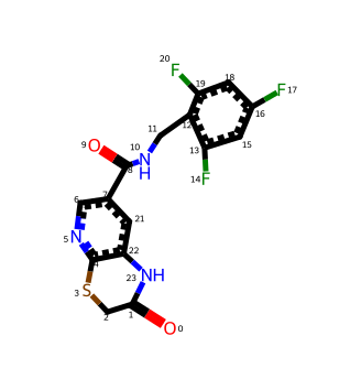 O=C1CSc2ncc(C(=O)NCc3c(F)cc(F)cc3F)cc2N1